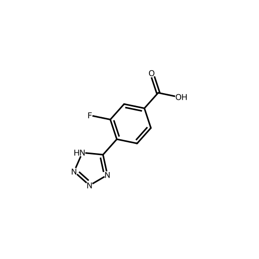 O=C(O)c1ccc(-c2nnn[nH]2)c(F)c1